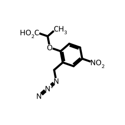 CC(Oc1ccc([N+](=O)[O-])cc1CN=[N+]=[N-])C(=O)O